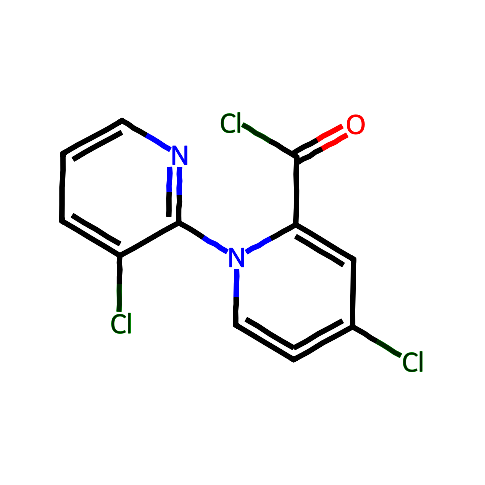 O=C(Cl)C1=CC(Cl)=C=CN1c1ncccc1Cl